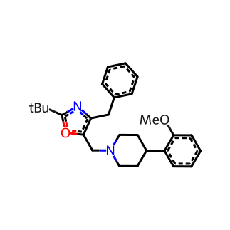 COc1ccccc1C1CCN(Cc2oc(C(C)(C)C)nc2Cc2ccccc2)CC1